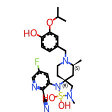 CC(C)Oc1cc(CN2CC[C@@]3(C[C@@H]2C)CN(C)S(O)(O)N3c2cc(F)cnc2C#N)ccc1O